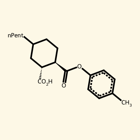 CCCCCC1CC[C@@H](C(=O)Oc2ccc(C)cc2)[C@H](C(=O)O)C1